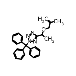 C=C(C)COC(C)c1nnn(C(c2ccccc2)(c2ccccc2)c2ccccc2)n1